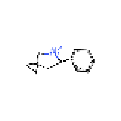 c1ccc(C2CC3(CC3)CN2)cc1